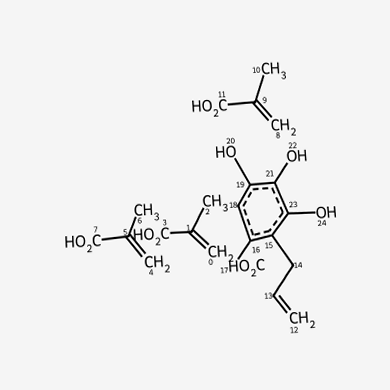 C=C(C)C(=O)O.C=C(C)C(=O)O.C=C(C)C(=O)O.C=CCc1c(C(=O)O)cc(O)c(O)c1O